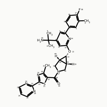 Cc1cc(-c2cc(C(C)(C)N)cc(O[C@@H]3[C@@H]4CN(C(=O)c5sc(-c6ncccn6)nc5C)C[C@@H]43)n2)ccc1F